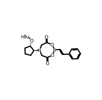 CCCCO[C@H]1CCC[C@@H]1N1CC(=O)OB(/C=C/c2ccccc2)OC(=O)C1